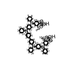 CSc1cc(N(c2ccccc2)c2ccc(N(c3ccccc3)c3ccc(-c4ccc(N(c5ccccc5)c5ccc(N(c6ccccc6)c6ccc(S(=O)(=O)O)c(SC)c6)cc5)cc4)cc3)cc2)ccc1S(=O)(=O)O